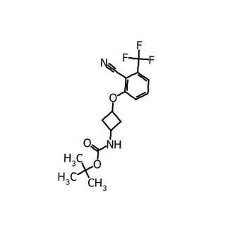 CC(C)(C)OC(=O)NC1CC(Oc2cccc(C(F)(F)F)c2C#N)C1